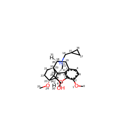 COc1ccc2c3c1O[C@@H]1[C@]34CCN(CC3CC3)[C@H](C2)[C@]42CC[C@@]1(OC)C(CO)C2